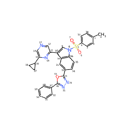 Cc1ccc(S(=O)(=O)n2cc(-c3cncc(C4CC4)n3)c3cc(-c4nnc(-c5ccccc5)o4)ccc32)cc1